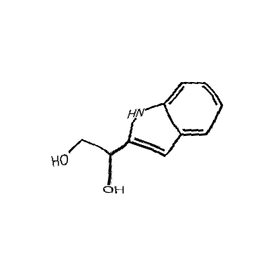 OCC(O)c1cc2ccccc2[nH]1